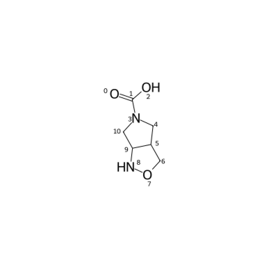 O=C(O)N1CC2CONC2C1